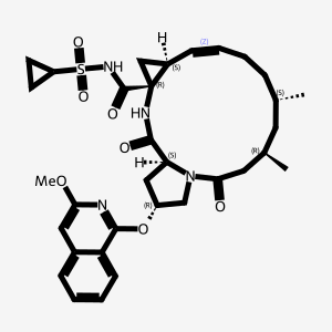 COc1cc2ccccc2c(O[C@@H]2C[C@H]3C(=O)N[C@]4(C(=O)NS(=O)(=O)C5CC5)C[C@H]4/C=C\CC[C@H](C)C[C@@H](C)CC(=O)N3C2)n1